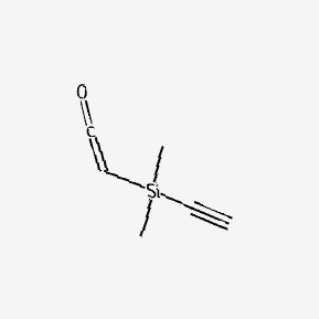 C#C[Si](C)(C)C=C=O